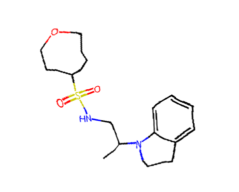 CC(CNS(=O)(=O)C1CCOCC1)N1CCc2ccccc21